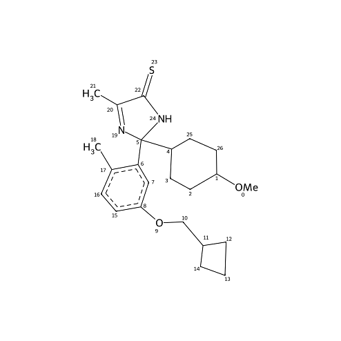 COC1CCC(C2(c3cc(OCC4CCC4)ccc3C)N=C(C)C(=S)N2)CC1